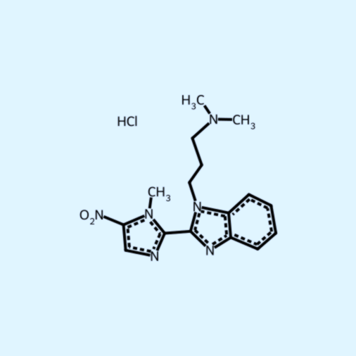 CN(C)CCCn1c(-c2ncc([N+](=O)[O-])n2C)nc2ccccc21.Cl